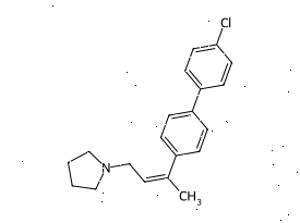 C/C(=C/CN1CCCC1)c1ccc(-c2ccc(Cl)cc2)cc1